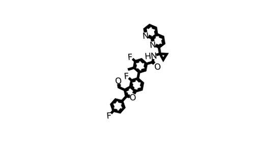 Cc1c(F)cc(C(=O)NC2(c3ccc4cccnc4n3)CC2)cc1-c1ccc2oc(-c3ccc(F)cc3)c(C=O)c2c1F